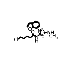 CNc1nnc(NC(=O)CCCCCl)s1.c1cc2occ3c1cc23